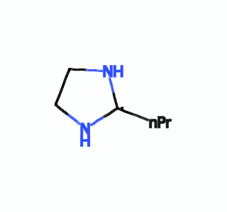 CCC[C]1NCCN1